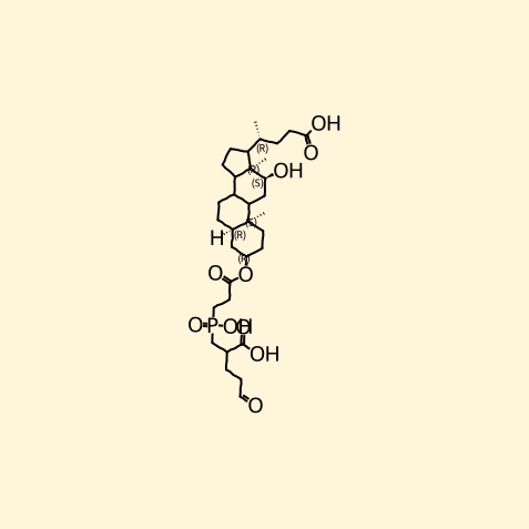 C[C@H](CCC(=O)O)C1CCC2C3CC[C@@H]4C[C@H](OC(=O)CCP(=O)(O)CC(CCC=O)C(=O)O)CC[C@]4(C)C3C[C@H](O)[C@@]21C